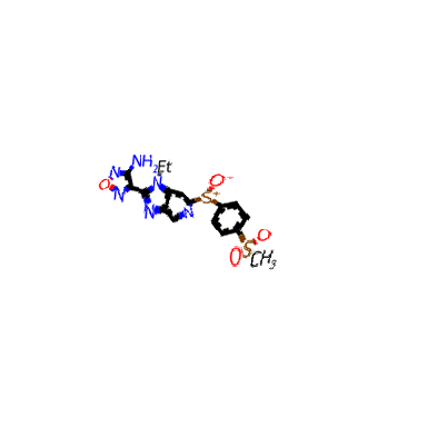 CCn1c(-c2nonc2N)nc2cnc([S+]([O-])c3ccc(S(C)(=O)=O)cc3)cc21